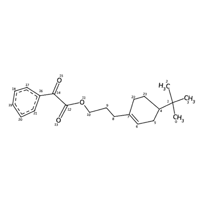 CC(C)(C)C1CC=C(CCCOC(=O)C(=O)c2ccccc2)CC1